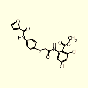 COC(=O)c1c(Cl)cc(Cl)cc1NC(=O)CSc1ccc(NC(=O)c2ccco2)cc1